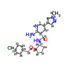 Cn1cc(-c2cnc(N)c(C(=O)N[C@@H]3CCC[C@H]3OCc3ccc(Cl)cc3)c2)cn1